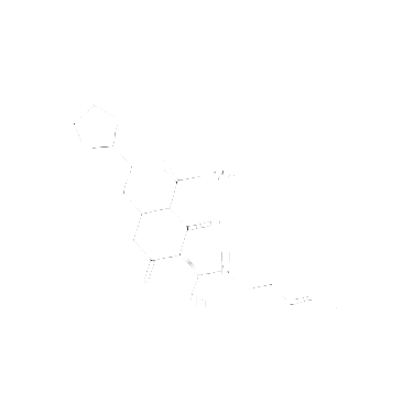 C=CCONC(CCC)=C1C(=O)CC(CCC2SCCS2)C(C(=O)OC)C1=O